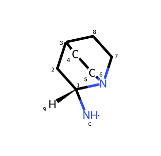 [NH][C@@H]1CC2CCN1CC2